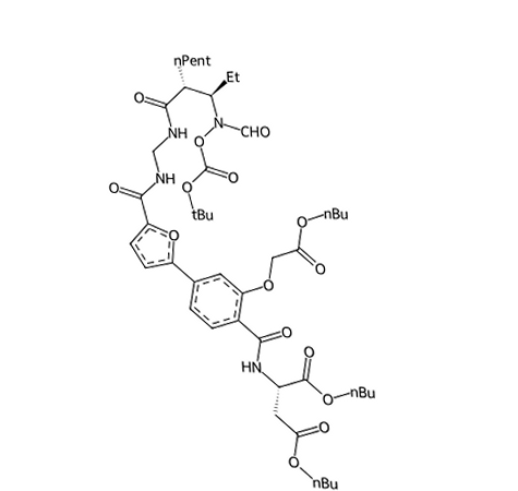 CCCCC[C@@H](C(=O)NCNC(=O)c1ccc(-c2ccc(C(=O)N[C@@H](CC(=O)OCCCC)C(=O)OCCCC)c(OCC(=O)OCCCC)c2)o1)[C@@H](CC)N(C=O)OC(=O)OC(C)(C)C